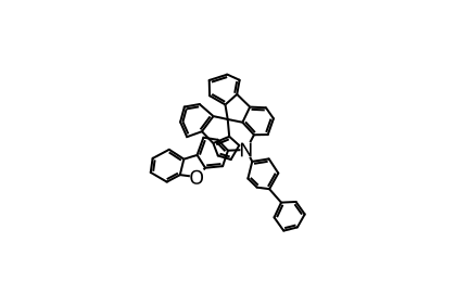 C1=C=CC2=C(C=1)C1=C(CC=C1)C21c2ccccc2-c2cccc(N(c3ccc(-c4ccccc4)cc3)c3ccc4c(c3)oc3ccccc34)c21